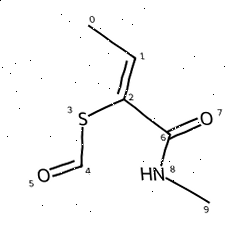 C/C=C(\SC=O)C(=O)NC